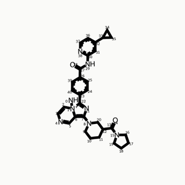 N[N+]12C=CN=CC1=C(N1CCCC(C(=O)N3CCCC3)C1)N=C2c1ccc(C(=O)Nc2cc(C3CC3)ccn2)cc1